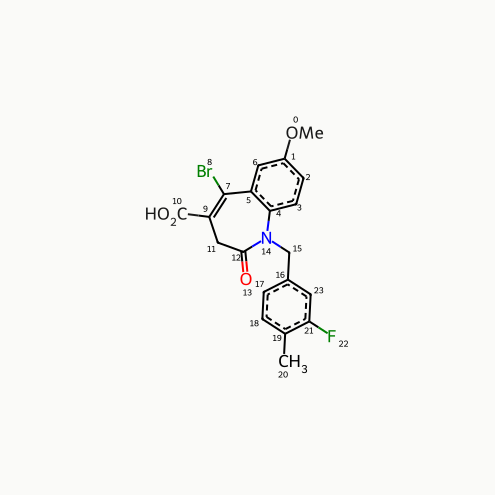 COc1ccc2c(c1)C(Br)=C(C(=O)O)CC(=O)N2Cc1ccc(C)c(F)c1